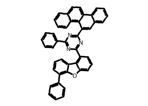 c1ccc(-c2nc(-c3cccc4oc5c(-c6ccccc6)cccc5c34)nc(-c3cc4ccccc4c4ccc5ccccc5c34)n2)cc1